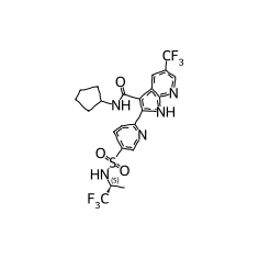 C[C@H](NS(=O)(=O)c1ccc(-c2[nH]c3ncc(C(F)(F)F)cc3c2C(=O)NC2CCCC2)nc1)C(F)(F)F